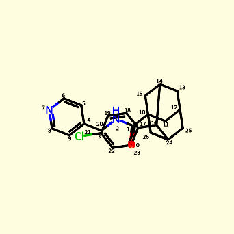 O=C(NCc1ccncc1)C12CC3CC(C1)C(c1ccc(Cl)cc1)C(C3)C2